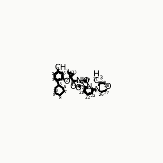 Cc1ccc(C2CCCCC2)c(OC2(C(=O)NS(=O)(=O)c3cccc(N4CCOC[C@H]4C)n3)CC2)c1